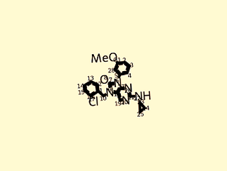 COc1cccc(-n2c(=O)n(Cc3ccccc3Cl)c3cnc(NC4CC4)nc32)c1